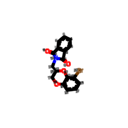 O=C1c2ccccc2C(=O)N1C[C@@H]1COc2cccc(Br)c2O1